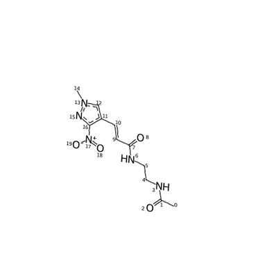 CC(=O)NCCNC(=O)C=Cc1cn(C)nc1[N+](=O)[O-]